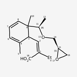 CCC(=CC1C(C)=CC=CC1(C)[C@@H](C)OC[C@H]1CO1)C(=O)O